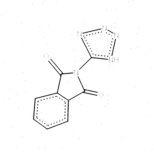 O=C1c2ccccc2C(=O)N1c1nnn[nH]1